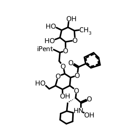 CCCC(C)C(COC1OC(CO)C(O)C(O[C@@H](CC2CCCCC2)C(=O)NO)C1OC(=O)c1ccccc1)OC1OC(C)C(O)C(O)C1O